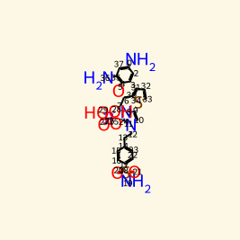 Nc1ccc(OC(CN2C=CN(CCc3ccc(S(N)(=O)=O)cc3)C2OP(=O)(O)O)c2cccs2)c(N)c1